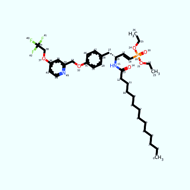 CCCCCCCCCCCCCC(=O)N[C@@H](/C=C/P(=O)(OCC)OCC)Cc1ccc(OCc2cc(OCC(F)(F)F)ccn2)cc1